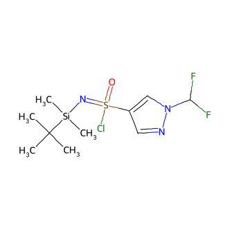 CC(C)(C)[Si](C)(C)N=S(=O)(Cl)c1cnn(C(F)F)c1